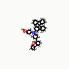 COc1ccc(N(c2ccc(-c3cccc4c3oc3ccccc34)cc2)c2ccc(C3(c4ccccc4)c4ccccc4-c4ccccc43)cc2)cc1